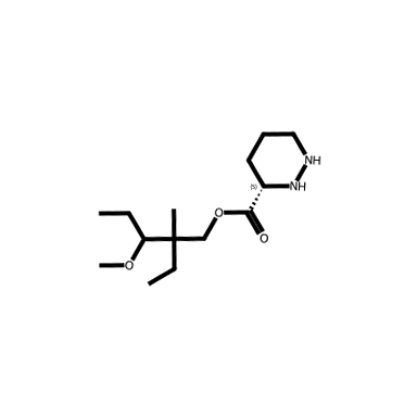 CCC(OC)C(C)(CC)COC(=O)[C@@H]1CCCNN1